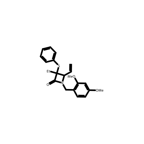 C=CC1N(Cc2ccc(OC)cc2OC)C(=O)C1(CC)Sc1ccccc1